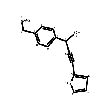 CSCc1ccc(C(O)C#Cc2cccs2)cc1